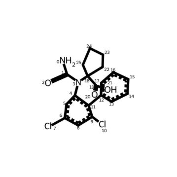 NC(=O)N(c1cc(Cl)cc(Cl)c1-c1ccccc1)C1(C(=O)O)CCCC1